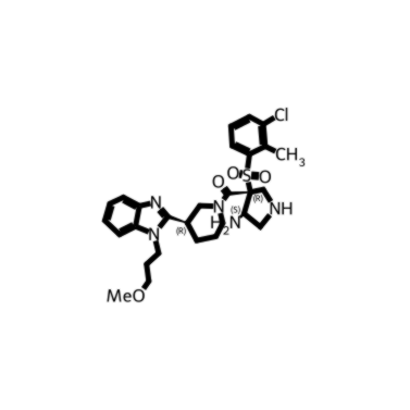 COCCCn1c([C@@H]2CCCN(C(=O)[C@@]3(S(=O)(=O)c4cccc(Cl)c4C)CNC[C@@H]3N)C2)nc2ccccc21